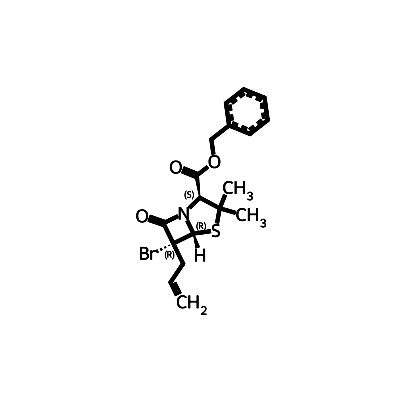 C=CC[C@@]1(Br)C(=O)N2[C@@H](C(=O)OCc3ccccc3)C(C)(C)S[C@@H]21